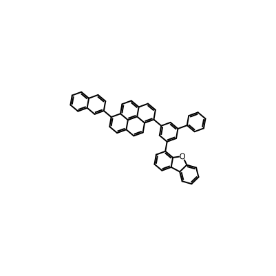 c1ccc(-c2cc(-c3ccc4ccc5c(-c6ccc7ccccc7c6)ccc6ccc3c4c65)cc(-c3cccc4c3oc3ccccc34)c2)cc1